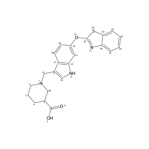 O=C(O)C1CCCN(Cc2c[nH]c3cc(Oc4nc5ccccc5s4)ccc23)C1